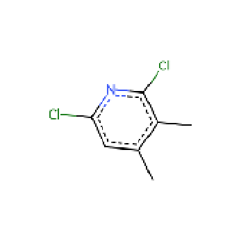 Cc1cc(Cl)nc(Cl)c1C